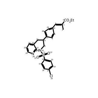 CCOC(=O)/C(C)=C/c1ccc(C(CNS(=O)(=O)c2ccc(Cl)cc2)Cc2cccnc2)cc1